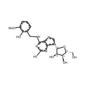 COc1cccc(CNc2nc(S)nc3c2ncn3[C@@H]2O[C@H](CO)[C@@H](O)[C@H]2O)c1O